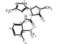 CN1C[C@H](c2cc(C(F)(F)F)n[nH]2)[C@@H](C(=O)Nc2cccc(F)c2OC(F)(F)F)C1=O